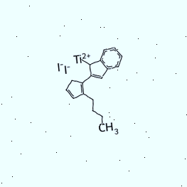 CCCCC1=C(C2=Cc3ccccc3[CH]2[Ti+2])CC=C1.[I-].[I-]